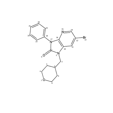 O=c1n(CC2CCOCC2)c2cc(Br)cnc2n1-c1ccccc1